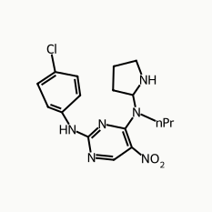 CCCN(c1nc(Nc2ccc(Cl)cc2)ncc1[N+](=O)[O-])C1CCCN1